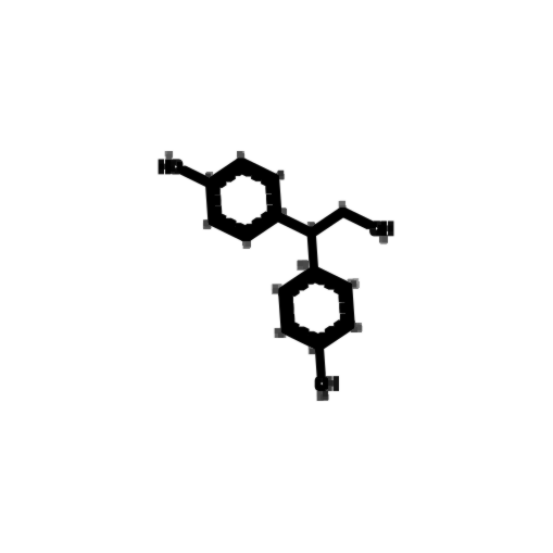 OCC(c1ccc(O)cc1)c1ccc(O)cc1